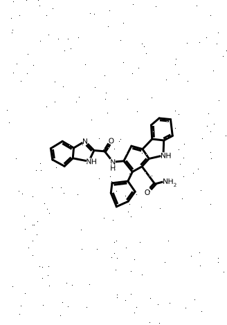 NC(=O)c1c(-c2ccccc2)c(NC(=O)c2nc3ccccc3[nH]2)cc2c1[nH]c1ccccc12